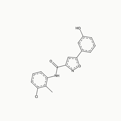 Cc1c(Cl)cccc1NC(=O)c1cc(-c2cccc(O)c2)on1